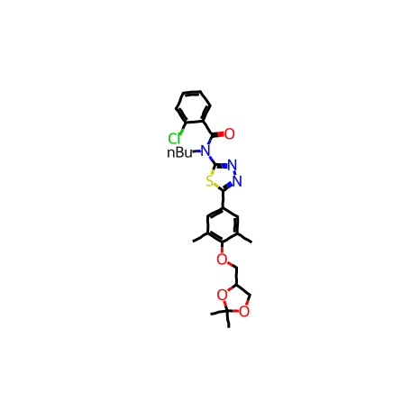 CCCCN(C(=O)c1ccccc1Cl)c1nnc(-c2cc(C)c(OCC3COC(C)(C)O3)c(C)c2)s1